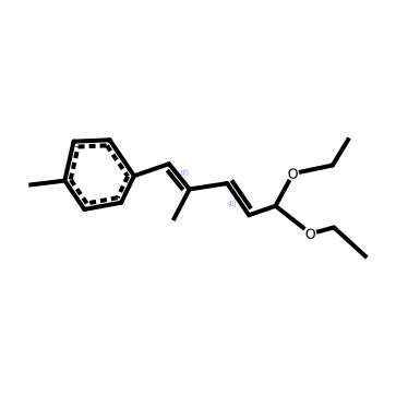 CCOC(/C=C/C(C)=C/c1ccc(C)cc1)OCC